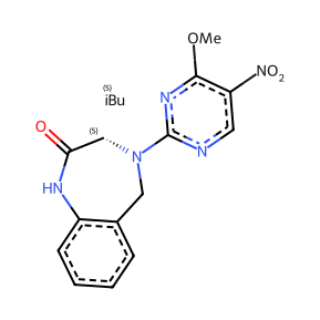 CC[C@H](C)[C@H]1C(=O)Nc2ccccc2CN1c1ncc([N+](=O)[O-])c(OC)n1